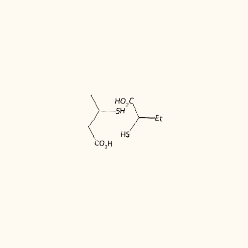 CC(S)CC(=O)O.CCC(S)C(=O)O